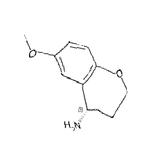 COc1ccc2c(c1)[C@@H](N)CCO2